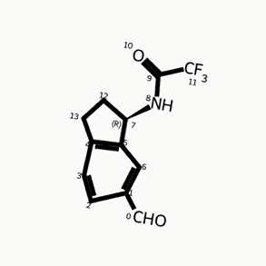 O=Cc1ccc2c(c1)[C@H](NC(=O)C(F)(F)F)CC2